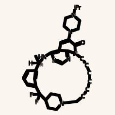 CC(C)N1CCN(c2cc3c4ncnc3n(c2=O)CCCCCCCN2CCC(CC2)C(F)(F)c2cccc(c2)[C@H](C)N4)CC1